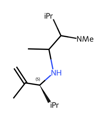 C=C(C)[C@@H](NC(C)C(NC)C(C)C)C(C)C